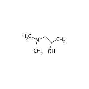 [CH2]C(O)CN(C)C